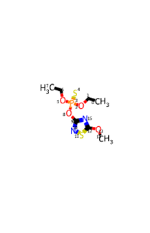 CCOP(=S)(OCC)Oc1nsc(OC)n1